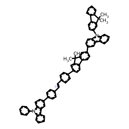 CC1(C)c2cc(-c3ccc(/C=C/c4ccc(-c5ccc6c(c5)c5ccccc5n6-c5ccccc5)cc4)cc3)ccc2-c2ccc(-c3ccc4c(c3)c3ccccc3n4-c3ccc4c(c3)C(C)(C)c3ccccc3-4)cc21